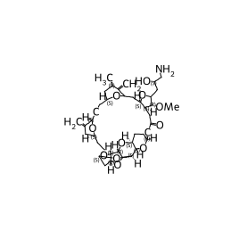 C=C1C2C[C@@H]3OC(C[C@H](O)CN)[C@H](OC)[C@H]3CC(=O)C[C@H]3CC[C@@H]4O[C@@H]5C6O[C@@H]7C[C@@](CC[C@H]8CC(=C)[C@H](CC[C@@H](C[C@H]1C)O2)O8)(O[C@H]57)O[C@H]6[C@H]4O3